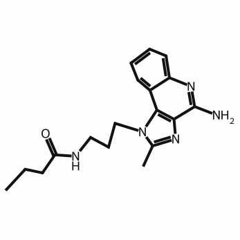 CCCC(=O)NCCCn1c(C)nc2c(N)nc3ccccc3c21